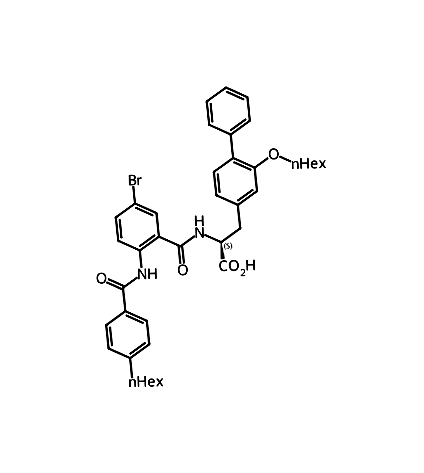 CCCCCCOc1cc(C[C@H](NC(=O)c2cc(Br)ccc2NC(=O)c2ccc(CCCCCC)cc2)C(=O)O)ccc1-c1ccccc1